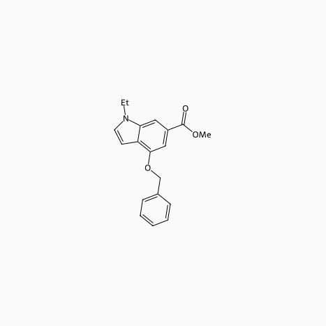 CCn1ccc2c(OCc3ccccc3)cc(C(=O)OC)cc21